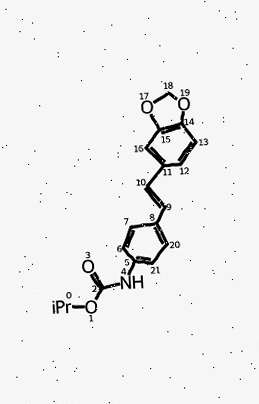 CC(C)OC(=O)Nc1ccc(/C=C/c2ccc3c(c2)OCO3)cc1